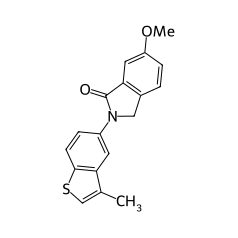 COc1ccc2c(c1)C(=O)N(c1ccc3scc(C)c3c1)C2